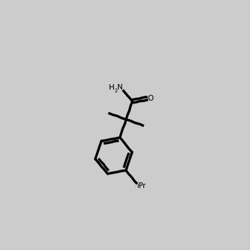 CC(C)c1cccc(C(C)(C)C(N)=O)c1